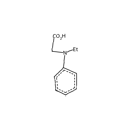 CCN(CC(=O)O)c1cc[c]cc1